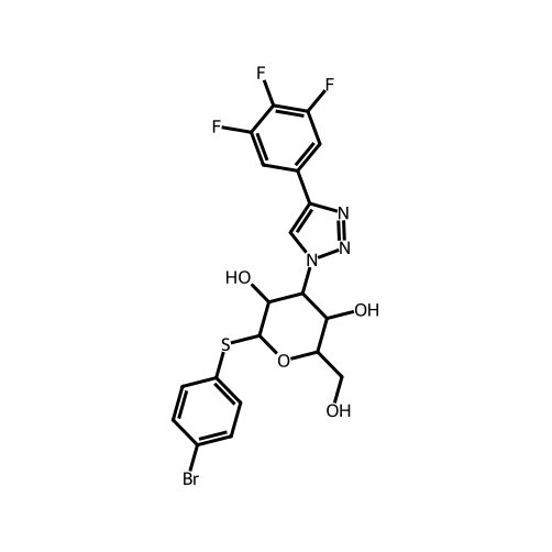 OCC1OC(Sc2ccc(Br)cc2)C(O)C(n2cc(-c3cc(F)c(F)c(F)c3)nn2)C1O